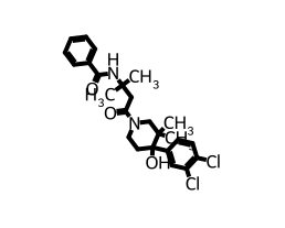 CC(C)(CC(=O)N1CCC(O)(c2ccc(Cl)c(Cl)c2)C(C)(C)C1)NC(=O)c1ccccc1